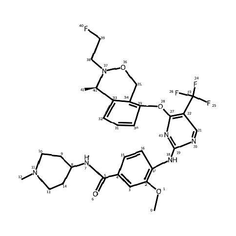 COc1cc(C(=O)NC2CCN(C)CC2)ccc1Nc1ncc(C(F)(F)F)c(Oc2cccc3c2CON(CCF)[C@@H]3C)n1